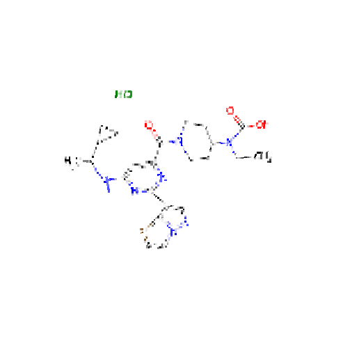 CCN(C(=O)O)C1CCN(C(=O)c2cc(N[C@H](C)C3CC3)nc(-c3cnn4ccsc34)n2)CC1.Cl